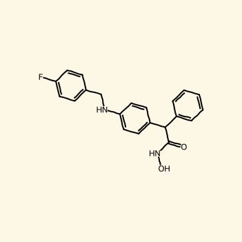 O=C(NO)C(c1ccccc1)c1ccc(NCc2ccc(F)cc2)cc1